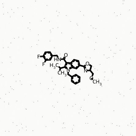 COCC1COC(c2ccc3c(C(=O)NCc4ccc(F)c(F)c4)c(C(C)C)n(Cc4ccccc4)c3c2)=N1